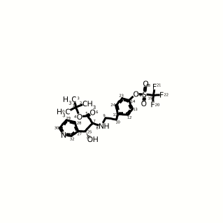 CC(C)(C)OC(=O)C(NCCc1ccc(OS(=O)(=O)C(F)(F)F)cc1)[C@H](O)c1cccnc1